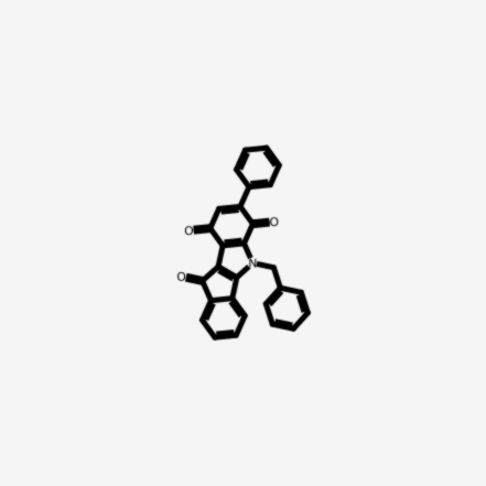 O=c1cc(-c2ccccc2)c(=O)c2c1c1c(=O)c3ccccc3c1n2Cc1ccccc1